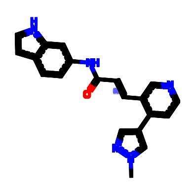 Cn1cc(-c2ccncc2/C=C/C(=O)Nc2ccc3cc[nH]c3c2)cn1